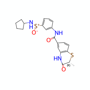 C[C@H]1Sc2ccc(C(=O)Nc3cccc([S+]([O-])NC4CCCC4)c3)cc2NC1=O